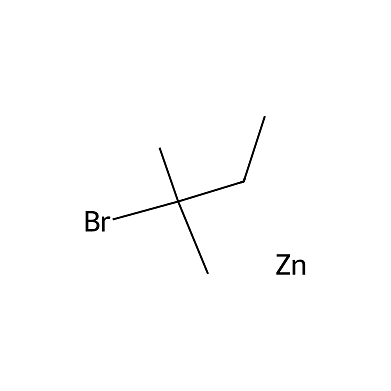 CCC(C)(C)Br.[Zn]